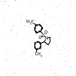 Cc1ccc(S(=O)(=O)N2CCCC2c2cccc(C)c2)cc1